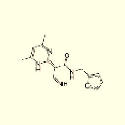 CC1=CC(C)=N/C(=C(/C=N)C(=O)NCc2ccco2)N1